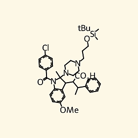 COc1ccc2c(c1)C(C(C(=O)O)C(C)c1ccccc1)C(C)(N1CCN(CCCO[Si](C)(C)C(C)(C)C)CC1)N2C(=O)c1ccc(Cl)cc1